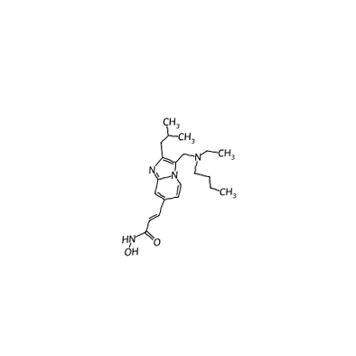 CCCCN(CC)Cc1c(CC(C)C)nc2cc(C=CC(=O)NO)ccn12